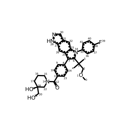 COCC(C)(C)c1c(-c2ccc(C(=O)N3CCCC(O)(CO)C3)cc2)c2cc3[nH]ncc3cc2n1-c1ccc(F)cc1